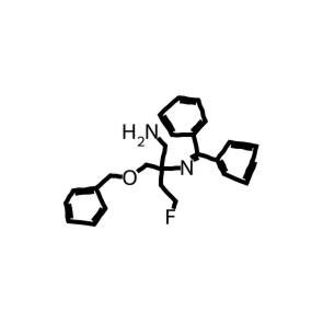 NCC(CCF)(COCc1ccccc1)N=C(c1ccccc1)c1ccccc1